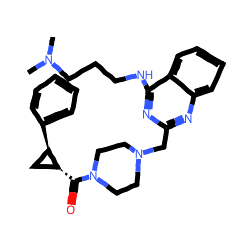 CN(C)CCCNc1nc(CN2CCN(C(=O)[C@@H]3C[C@H]3c3ccccc3)CC2)nc2ccccc12